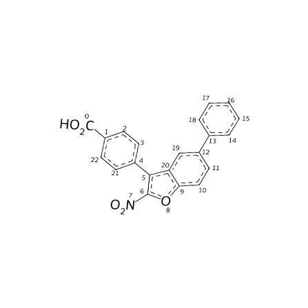 O=C(O)c1ccc(-c2c([N+](=O)[O-])oc3ccc(-c4ccccc4)cc23)cc1